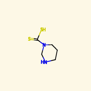 S=C(S)N1CCCNC1